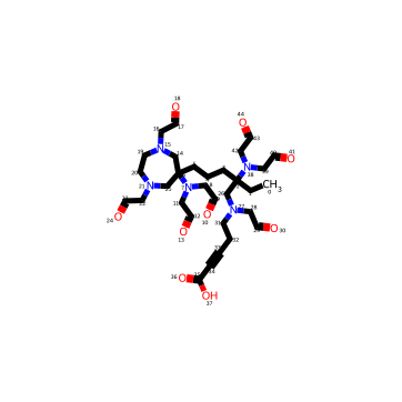 CCC(CCCC1(N(CC=O)CC=O)CN(CC=O)CCN(CC=O)C1)(CN(CC=O)CCC#CC(=O)O)N(CC=O)CC=O